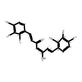 O=C(/C=C/c1ccc(F)c(F)c1F)/C=C(O)\C=C\c1ccc(F)c(F)c1F